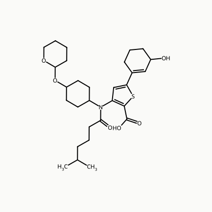 CC(C)CCCC(=O)N(c1cc(C2=CC(O)CCC2)sc1C(=O)O)C1CCC(OC2CCCCO2)CC1